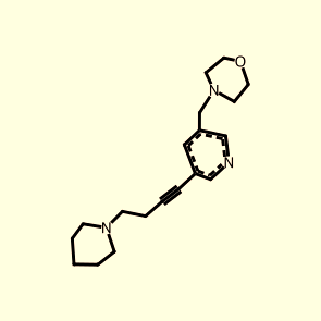 C(#Cc1cncc(CN2CCOCC2)c1)CCN1CCCCC1